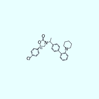 CC(c1ccc(-c2ccccc2N2CCCCC2)cc1)N1C[C@@H](c2ccc(Cl)cc2)OC1=O